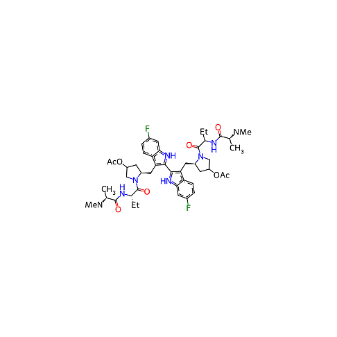 CCC(NC(=O)[C@H](C)NC)C(=O)N1CC(OC(C)=O)C[C@H]1Cc1c(-c2[nH]c3cc(F)ccc3c2C[C@@H]2CC(OC(C)=O)CN2C(=O)[C@H](CC)NC(=O)[C@H](C)NC)[nH]c2cc(F)ccc12